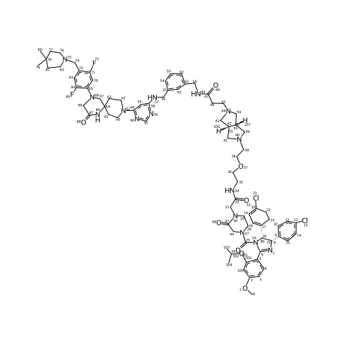 COc1ccc(C2=N[C@@H](c3ccc(Cl)cc3)[C@@H](C3=CC=C(Cl)CC3)N2C(=O)N2CCN(CC(=O)NCCOCCN3C[C@@H]4CN(CCC(=O)NCc5cccc(CNc6cc(N7CCC8(CC7)CN(c7cc(F)c(CN9CCC(C)(C)CC9)cc7F)CC(=O)N8)ncn6)c5)C[C@@H]4C3)C(=O)C2)c(OC(C)C)c1